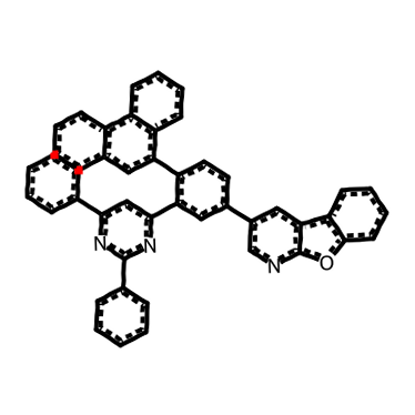 c1ccc(-c2cc(-c3cc(-c4cnc5oc6ccccc6c5c4)ccc3-c3cc4ccccc4c4ccccc34)nc(-c3ccccc3)n2)cc1